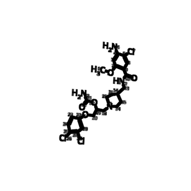 COc1cc(N)c(Cl)cc1C(=O)NCC1CCN(CC(COc2ccc(Cl)c(Cl)c2)OC(N)=O)CC1